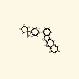 BC1(c2ccc(-c3cccc4c3oc3nc5ccccc5cc34)nc2)CCCC1